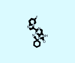 N#CC1(n2c(=O)[nH]c3cnc(-c4cnc5ccc(F)cn45)nc32)CCCCC1